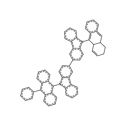 C1=CC2C(n3c4ccccc4c4cc(-c5ccc6c(c5)c5ccccc5n6-c5c6ccccc6c(-c6ccccc6)c6ccccc56)ccc43)=c3ccccc3=CC2CC1